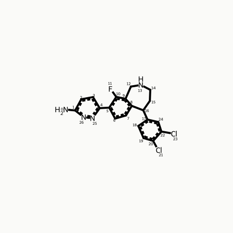 Nc1ccc(-c2ccc3c(c2F)CNCCC3c2ccc(Cl)c(Cl)c2)nn1